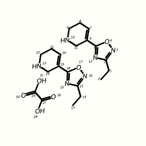 CCc1noc(C2=CCCNC2)n1.CCc1noc(C2=CCCNC2)n1.O=C(O)C(=O)O